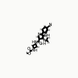 COC(=O)NC1CC(NC(=O)c2cnc3c([nH]c4cc(C#N)ccc43)c2NC(C)C)C1